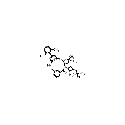 Cc1cccc(C)c1-c1cc2nc(n1)NSc1cccc(c1)C(=O)N(C1CC(CC(C)(C)O)C1)[C@H](CC(C)(C)C)CO2